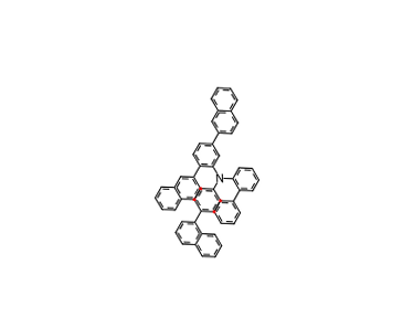 c1ccc(-c2ccccc2N(c2ccc(-c3cccc4ccccc34)cc2)c2cc(-c3ccc4ccccc4c3)ccc2-c2ccc3ccccc3c2)cc1